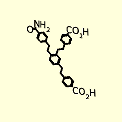 NC(=O)c1ccc(CCc2ccc(CCc3ccc(C(=O)O)cc3)cc2CCc2ccc(C(=O)O)cc2)cc1